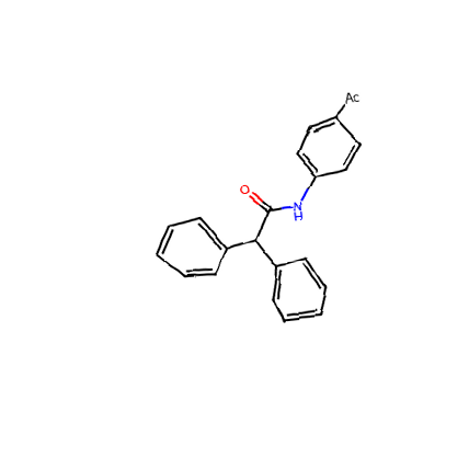 CC(=O)c1ccc(NC(=O)C(c2ccccc2)c2ccccc2)cc1